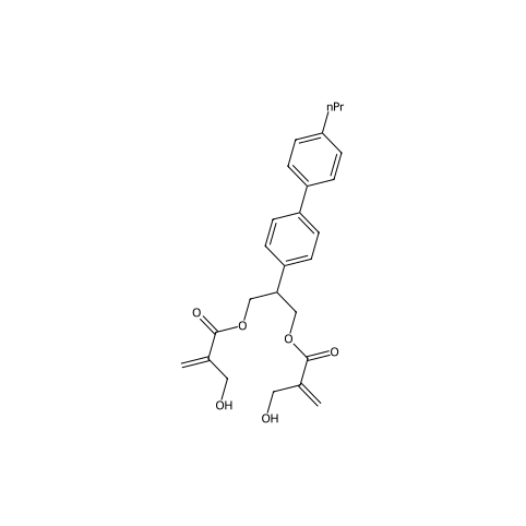 C=C(CO)C(=O)OCC(COC(=O)C(=C)CO)c1ccc(-c2ccc(CCC)cc2)cc1